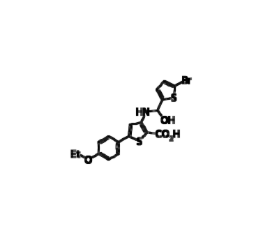 CCOc1ccc(-c2cc(NC(O)c3ccc(Br)s3)c(C(=O)O)s2)cc1